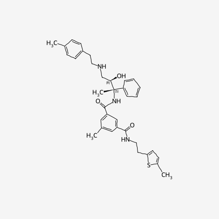 Cc1ccc(CCNC[C@@H](O)[C@@](C)(NC(=O)c2cc(C)cc(C(=O)NCCc3ccc(C)s3)c2)c2ccccc2)cc1